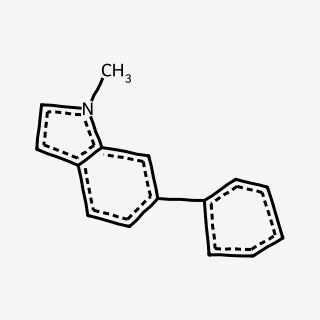 Cn1ccc2ccc(-c3ccccc3)cc21